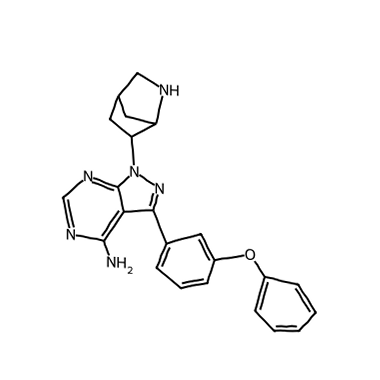 Nc1ncnc2c1c(-c1cccc(Oc3ccccc3)c1)nn2C1CC2CNC1C2